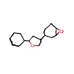 C1CCC(C2CC(C3CCC4OC4C3)CO2)CC1